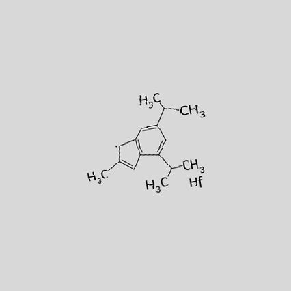 CC1=Cc2c(cc(C(C)C)cc2C(C)C)[CH]1.[Hf]